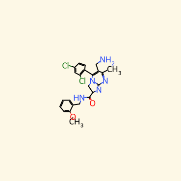 COc1ccccc1CNC(=O)C1CN2C(=N1)N=C(C)C(CN)=C2c1ccc(Cl)cc1Cl